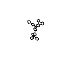 c1ccc(-c2ccc(N(c3ccc(-c4ccc5c(c4)Sc4ccccc4N5c4ccccc4)cc3)c3ccc4c5ccccc5c5ccccc5c4c3)cc2)cc1